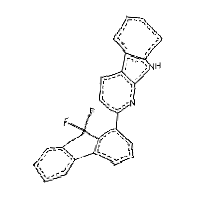 FC1(F)c2ccccc2-c2cccc(-c3ccc4c(n3)[nH]c3ccccc34)c21